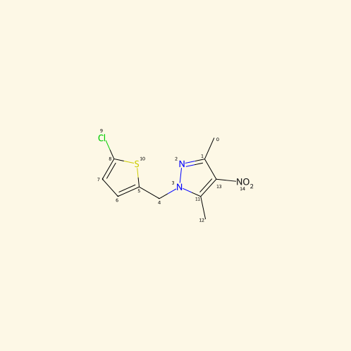 Cc1nn(Cc2ccc(Cl)s2)c(C)c1[N+](=O)[O-]